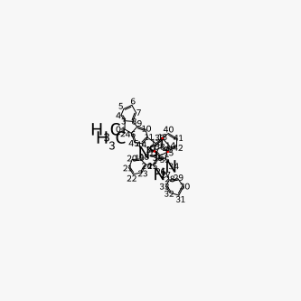 CC1(C)c2ccccc2-c2cc3c4ccccc4n(-c4ccccc4-c4nc(-c5ccccc5)nc5c4sc4ccccc45)c3cc21